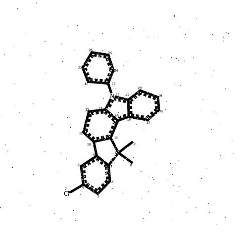 CC1(C)c2ccc(Cl)cc2-c2ccc3c(c21)c1ccccc1n3-c1ccccc1